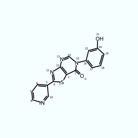 O=c1c2sc(-c3cccnc3)nc2ncn1-c1cccc(O)c1